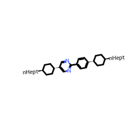 CCCCCCC[C@H]1CC[C@H](c2ccc(-c3ncc([C@H]4CC[C@H](CCCCCCC)CC4)cn3)cc2)CC1